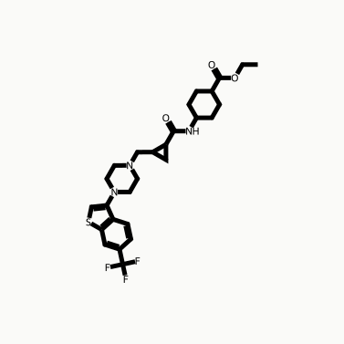 CCOC(=O)C1CCC(NC(=O)C2CC2CN2CCN(c3csc4cc(C(F)(F)F)ccc34)CC2)CC1